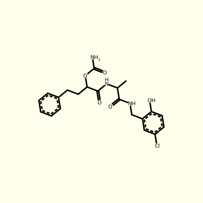 CC(NC(=O)C(CCc1ccccc1)OC(N)=O)C(=O)NCc1cc(Cl)ccc1O